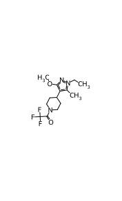 CCn1nc(OC)c(C2CCN(C(=O)C(F)(F)F)CC2)c1C